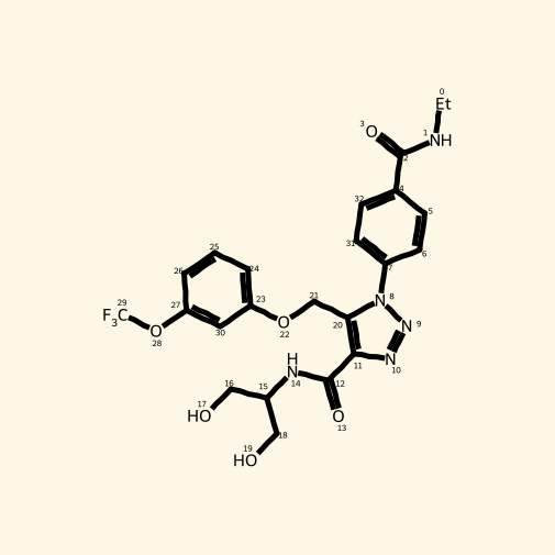 CCNC(=O)c1ccc(-n2nnc(C(=O)NC(CO)CO)c2COc2cccc(OC(F)(F)F)c2)cc1